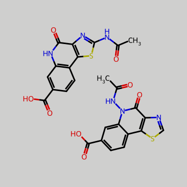 CC(=O)Nc1nc2c(=O)[nH]c3cc(C(=O)O)ccc3c2s1.CC(=O)Nn1c(=O)c2ncsc2c2ccc(C(=O)O)cc21